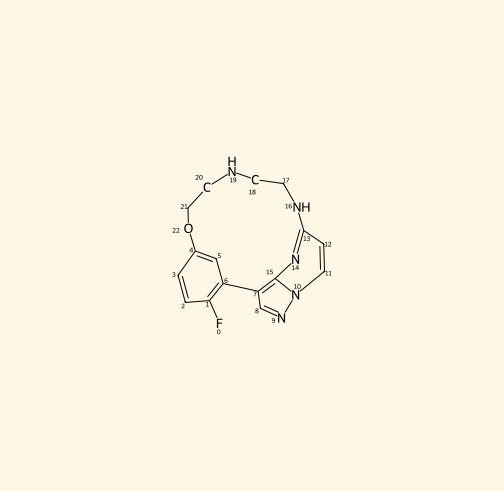 Fc1ccc2cc1-c1cnn3ccc(nc13)NCCNCCO2